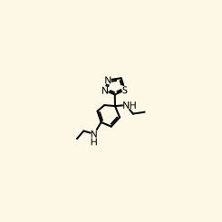 CCNC1=CCC(NCC)(c2nncs2)C=C1